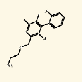 CCc1c(COCCN)nc(C)c(C)c1-c1ccccc1Cl